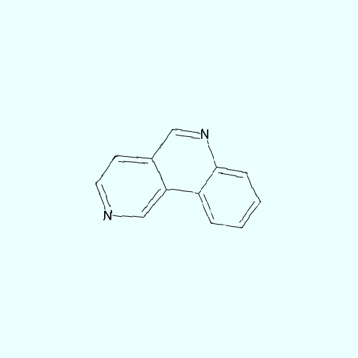 c1ccc2c(c1)ncc1ccncc12